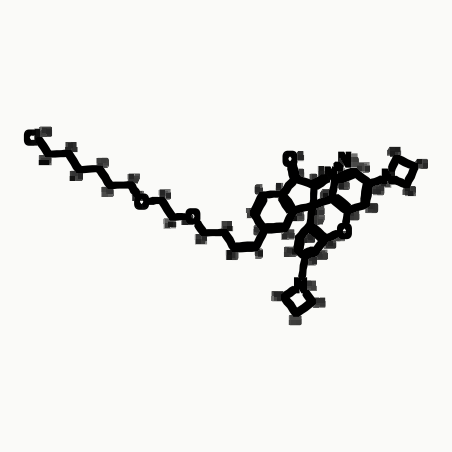 [N-]=[N+]=C1C(=O)c2ccc(/C=C\CCOCCOCCCCCCCl)cc2C12c1ccc(N3CCC3)cc1Oc1cc(N3CCC3)ccc12